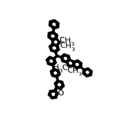 CC1(C)c2cc(-c3ccccc3)ccc2-c2ccc(C(c3cccc(-c4ccc(-c5ccc6oc7ccccc7c6c5)cc4)c3)c3ccc4c(c3)C(C)(C)c3cc(-c5ccccc5)ccc3-4)cc21